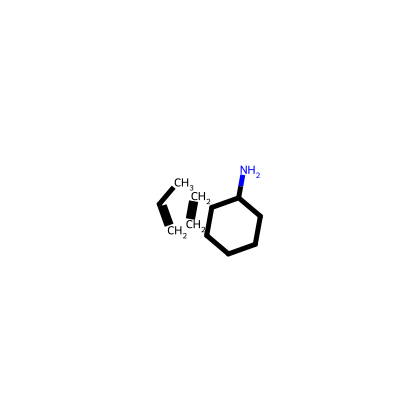 C=C.C=CC.NC1CCCCC1